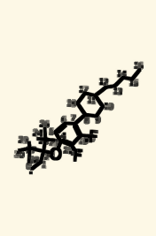 [CH2]CC(Oc1ccc(C2CCC(CCCCC)CC2)c(F)c1F)(C(C)(C)C)C(C)(C)C